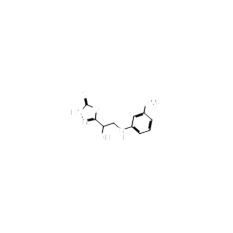 COc1cccc(NCC(O)c2n[nH]c(=S)o2)c1